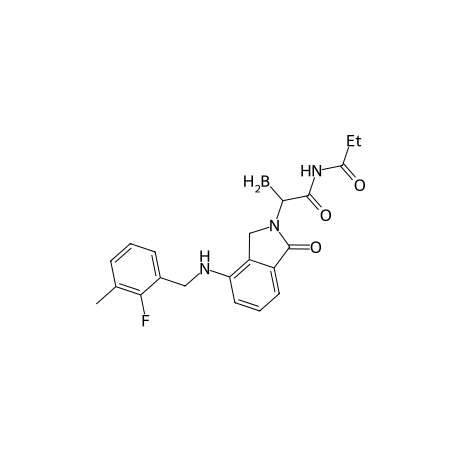 BC(C(=O)NC(=O)CC)N1Cc2c(NCc3cccc(C)c3F)cccc2C1=O